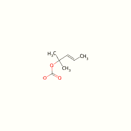 CC=CC(C)(C)OC([O])=O